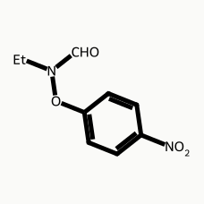 [CH2]CN(C=O)Oc1ccc([N+](=O)[O-])cc1